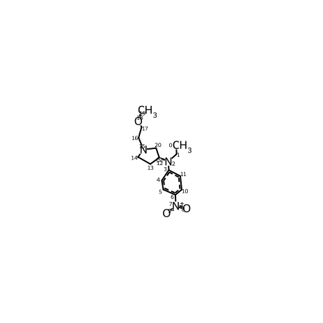 CCN(c1ccc([N+](=O)[O-])cc1)[C@H]1CCN(CCOC)C1